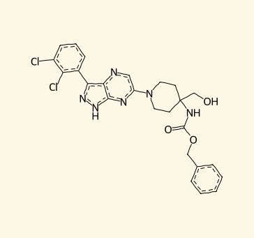 O=C(NC1(CO)CCN(c2cnc3c(-c4cccc(Cl)c4Cl)n[nH]c3n2)CC1)OCc1ccccc1